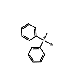 C[PH](Br)(c1ccccc1)c1ccccc1